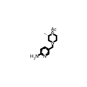 CC(=O)N1CCN(Cc2ccc(N)nc2)C[C@@H]1C